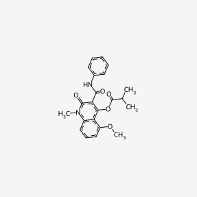 COc1cccc2c1c(OC(=O)C(C)C)c(C(=O)Nc1ccccc1)c(=O)n2C